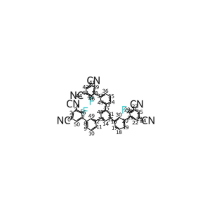 N#Cc1cc(C#N)c(F)c(-c2cccc(-c3cc(-c4cccc(-c5cc(C#N)cc(C#N)c5F)c4)cc(-c4cccc(-c5cc(C#N)cc(C#N)c5F)c4)c3)c2)c1